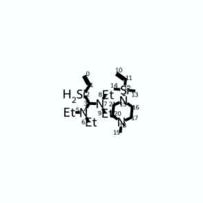 C=C[SiH2]C(N(CC)CC)N(CC)CC.C=C[Si](C)(C)N1CCN(C)CC1